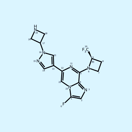 Fc1cnc2c(N3CC[C@@H]3C(F)(F)F)nc(-c3cnn(C4CNC4)c3)cn12